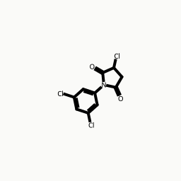 O=C1CC(Cl)C(=O)N1c1cc(Cl)cc(Cl)c1